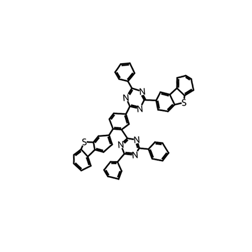 c1ccc(-c2nc(-c3ccc(-c4ccc5c(c4)sc4ccccc45)c(-c4nc(-c5ccccc5)nc(-c5ccccc5)n4)c3)nc(-c3ccc4sc5ccccc5c4c3)n2)cc1